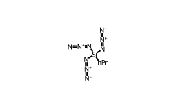 [CH2]CC[Si](N=[N+]=[N-])(N=[N+]=[N-])N=[N+]=[N-]